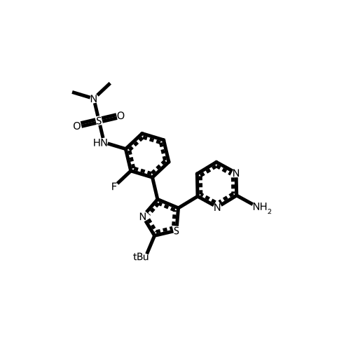 CN(C)S(=O)(=O)Nc1cccc(-c2nc(C(C)(C)C)sc2-c2ccnc(N)n2)c1F